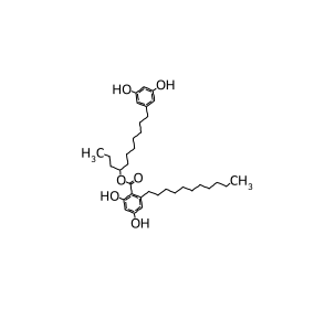 CCCCCCCCCCCc1cc(O)cc(O)c1C(=O)OC(CCC)CCCCCCCc1cc(O)cc(O)c1